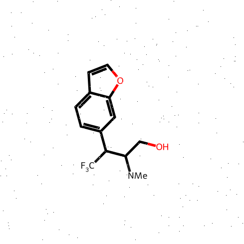 CNC(CO)C(c1ccc2ccoc2c1)C(F)(F)F